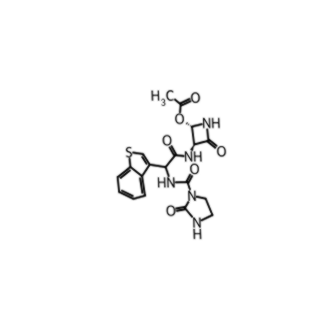 CC(=O)O[C@@H]1NC(=O)[C@H]1NC(=O)C(NC(=O)N1CCNC1=O)c1csc2ccccc12